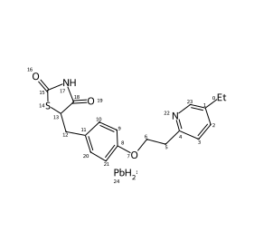 CCc1ccc(CCOc2ccc(CC3SC(=O)NC3=O)cc2)nc1.[PbH2]